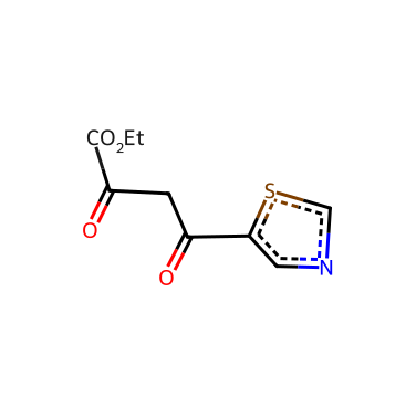 CCOC(=O)C(=O)CC(=O)c1cncs1